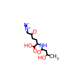 CC(O)CC(=O)NC(CCC(=O)C=[N+]=[N-])C(=O)O